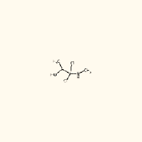 CNC(Cl)(Cl)C(C)O